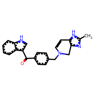 Cc1nc2c([nH]1)C=CN(Cc1ccc(C(=O)c3c[nH]c4ccccc34)cc1)C2